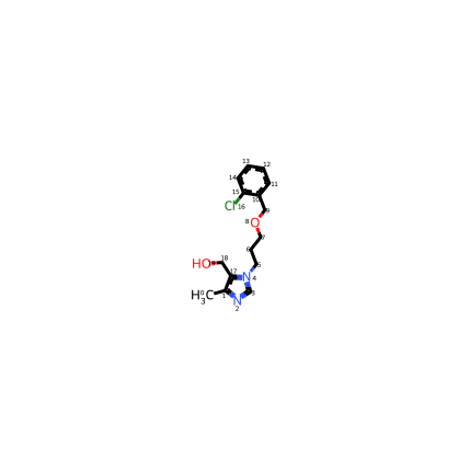 Cc1ncn(CCCOCc2ccccc2Cl)c1CO